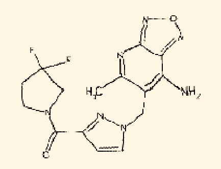 Cc1nc2nonc2c(N)c1Cn1ccc(C(=O)N2CCC(F)(F)C2)n1